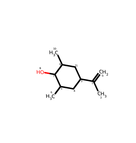 C=C(C)C1CC(C)C(O)C(C)C1